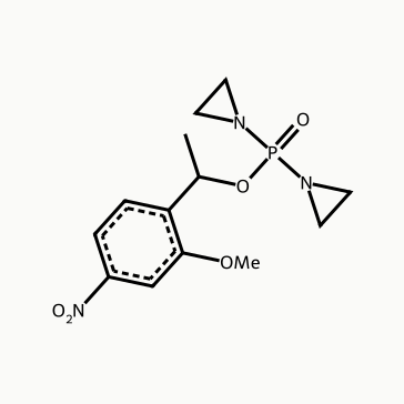 COc1cc([N+](=O)[O-])ccc1C(C)OP(=O)(N1CC1)N1CC1